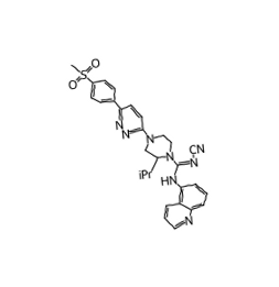 CC(C)C1CN(c2ccc(-c3ccc(S(C)(=O)=O)cc3)nn2)CCN1/C(=N\C#N)Nc1cccc2ncccc12